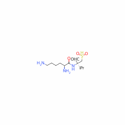 CC(C)[C@]([C]=O)(C[SH](=O)=O)NC(=O)[C@@H](N)CCCCN